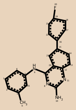 Cc1cccc(Nc2nc(N)nc3ccc(-c4ccc(F)cc4)cc23)c1